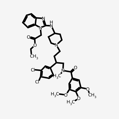 CCOC(=O)Cn1c(NC2CCN(CCC(CN(C)C(=O)c3cc(OC)c(OC)c(OC)c3)c3ccc(Cl)c(Cl)c3)CC2)nc2ccccc21